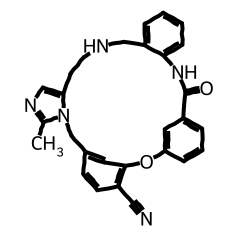 Cc1ncc2n1Cc1ccc(C#N)c(c1)Oc1cccc(c1)C(=O)Nc1ccccc1CNCC2